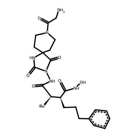 CCC(C)[C@@H](C(=O)NN1C(=O)NC2(CCN(C(=O)CN)CC2)C1=O)[C@H](CCCc1ccccc1)C(=O)NO